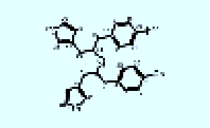 Fc1ccc(CC(Cc2ccsc2)OC(Cc2ccc(F)cc2)Cc2ccsc2)cc1